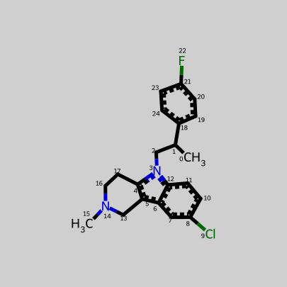 CC(Cn1c2c(c3cc(Cl)ccc31)CN(C)CC2)c1ccc(F)cc1